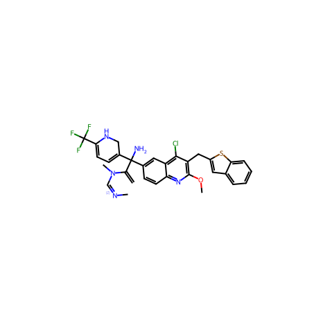 C=C(N(C)/C=N\C)C(N)(C1=CC=C(C(F)(F)F)NC1)c1ccc2nc(OC)c(Cc3cc4ccccc4s3)c(Cl)c2c1